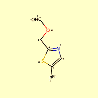 CCCc1cnc(CO[C]=O)s1